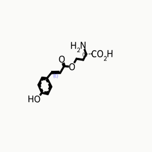 N[C@@H](CCOC(=O)/C=C/c1ccc(O)cc1)C(=O)O